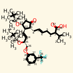 CC(C)C(CCC=CC[C@H]1C(=O)C[C@@H](O[Si](C)(C)C(C)(C)C)[C@@H]1C=C[C@H](COc1cccc(C(F)(F)F)c1)O[Si](C)(C)C(C)(C)C)C(=O)O